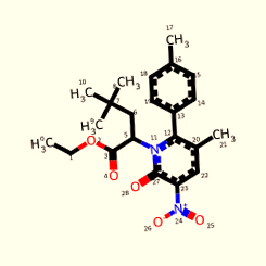 CCOC(=O)C(CC(C)(C)C)n1c(-c2ccc(C)cc2)c(C)cc([N+](=O)[O-])c1=O